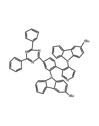 CC(C)(C)c1ccc2c(c1)c1ccccc1n2-c1ccncc1-c1ccc(-c2nc(-c3ccccc3)nc(-c3ccccc3)n2)cc1-n1c2ccccc2c2cc(C(C)(C)C)ccc21